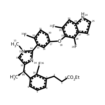 CCOC(=O)CCc1cccc([C@@H](C)c2cn(C)c(-c3cc(Oc4c(F)cc5[nH]ccc5c4F)ccc3F)n2)c1F